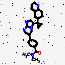 CN(C)C(=O)c1ccc(-c2cnc3ncc(C4(c5ccc6ncccc6c5)C=C4)n3c2)cc1